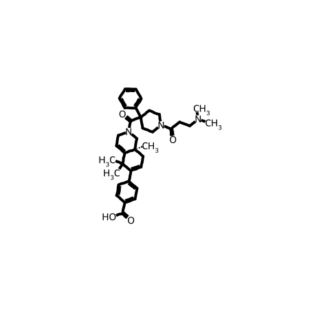 CN(C)CCC(=O)N1CCC(C(=O)N2CC=C3C(C)(C)C(c4ccc(C(=O)O)cc4)=CC[C@]3(C)C2)(c2ccccc2)CC1